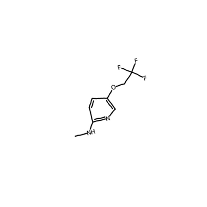 CNc1ccc(OCC(F)(F)F)cn1